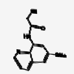 COc1cc(NC(=O)CS)c2ncccc2c1